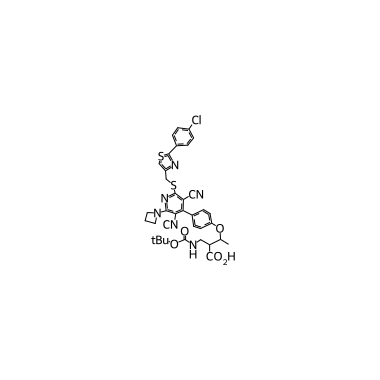 CC(Oc1ccc(-c2c(C#N)c(SCc3csc(-c4ccc(Cl)cc4)n3)nc(N3CCC3)c2C#N)cc1)C(CNC(=O)OC(C)(C)C)C(=O)O